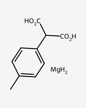 Cc1ccc(C(C(=O)O)C(=O)O)cc1.[MgH2]